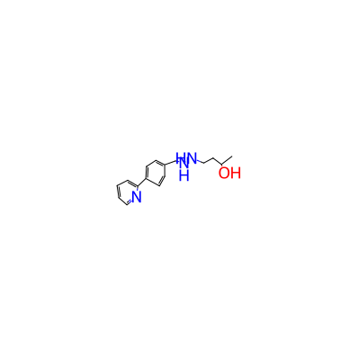 CC(O)CCNNCc1ccc(-c2ccccn2)cc1